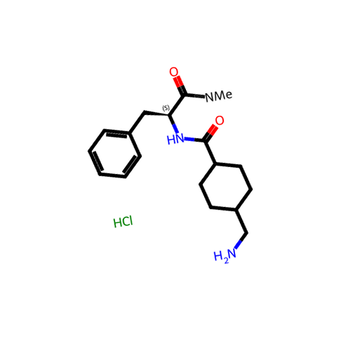 CNC(=O)[C@H](Cc1ccccc1)NC(=O)C1CCC(CN)CC1.Cl